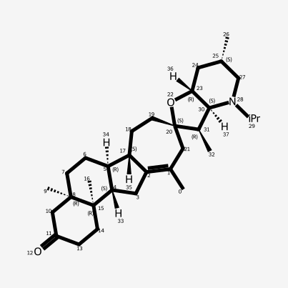 CC1=C2C[C@H]3[C@@H](CC[C@]4(C)CC(=O)CC[C@]34C)[C@@H]2CC[C@@]2(C1)O[C@@H]1C[C@H](C)CN(C(C)C)[C@H]1[C@H]2C